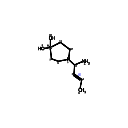 C/C=C/C(N)N1CCS(O)(O)CC1